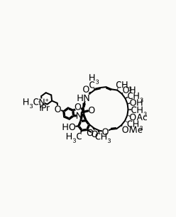 CO[C@H]1/C=C/O[C@@]2(C)Oc3c(C)c(O)c4c(=O)c(c5oc6cc(OCC7CCC[N+](C)(C(C)C)C7)ccc6nc-5c4c3C2=O)NC(=O)/C(C)=C\C=C\[C@H](C)[C@H](O)[C@@H](C)[C@@H](O)[C@@H](C)[C@H](OC(C)=O)[C@@H]1C